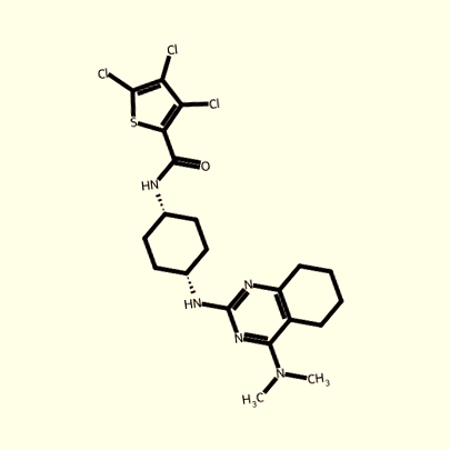 CN(C)c1nc(N[C@H]2CC[C@@H](NC(=O)c3sc(Cl)c(Cl)c3Cl)CC2)nc2c1CCCC2